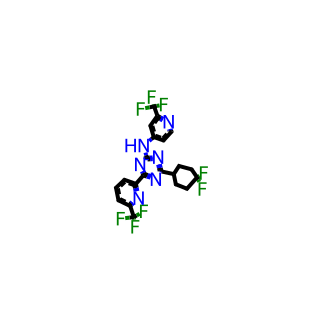 FC1(F)CCC(c2nc(Nc3ccnc(C(F)(F)F)c3)nc(-c3cccc(C(F)(F)F)n3)n2)CC1